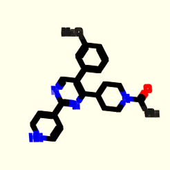 COc1cccc(-c2cnc(C3=CCNC=C3)nc2C2CCN(C(=O)C(C)(C)C)CC2)c1